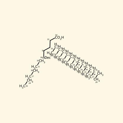 CC.CC.CC.CC.CC.CC.CC.CC.CC.CC.CC.CC.CC.CC.CC.CCCCCCCCCCCCCC(=O)O